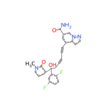 Cn1cccc(C(O)(CC#CC#Cc2cc(C(N)=O)cn3nccc23)c2cc(F)ccc2F)c1=O